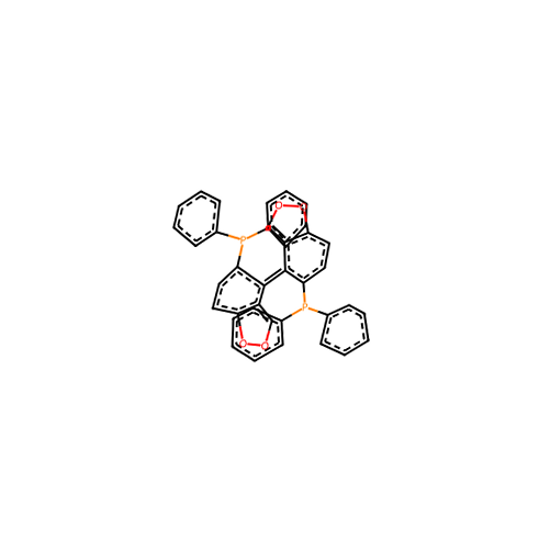 C1=c2c(ccc(P(c3ccccc3)c3ccccc3)c2=c2c(P(c3ccccc3)c3ccccc3)ccc3c2=COO3)OO1